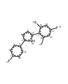 Fc1ccc(-c2ccc(-c3c(F)cc(F)cc3F)[nH]2)cc1